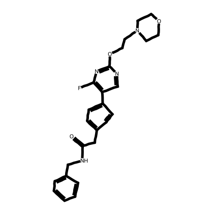 O=C(Cc1ccc(-c2cnc(OCCN3CCOCC3)nc2F)cc1)NCc1ccccc1